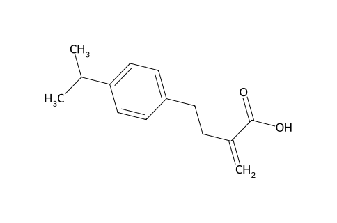 C=C(CCc1ccc(C(C)C)cc1)C(=O)O